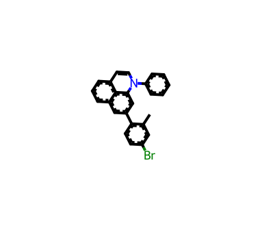 Cc1cc(Br)ccc1-c1cc2c3c(cccc3c1)C=CN2c1ccccc1